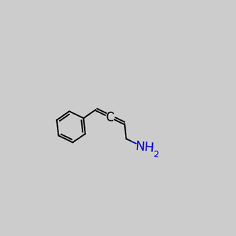 NCC=C=Cc1ccccc1